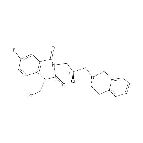 CC(C)Cn1c(=O)n(C[C@H](O)CN2CCc3ccccc3C2)c(=O)c2cc(F)ccc21